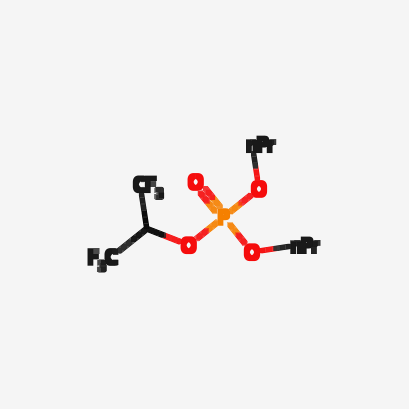 CCCOP(=O)(OCCC)OC(C(F)(F)F)C(F)(F)F